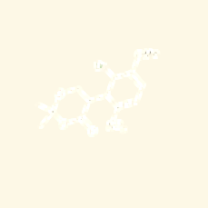 COC1=CC=C([N+](=O)[O-])C(C2COC(C)(C)OC2=O)C1Br